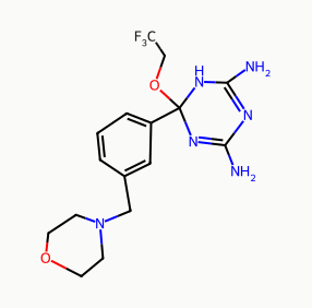 NC1=NC(OCC(F)(F)F)(c2cccc(CN3CCOCC3)c2)NC(N)=N1